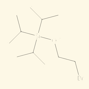 CC(C)[Si](OCCBr)(C(C)C)C(C)C